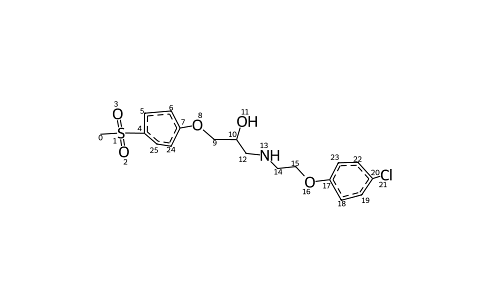 CS(=O)(=O)c1ccc(OCC(O)CNCCOc2ccc(Cl)cc2)cc1